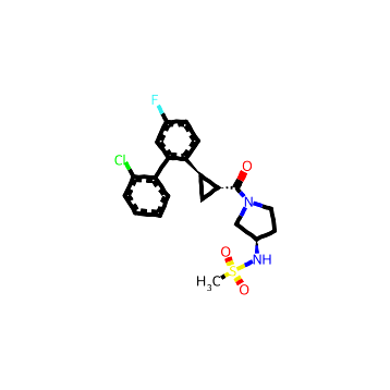 CS(=O)(=O)N[C@@H]1CCN(C(=O)[C@@H]2C[C@H]2c2ccc(F)cc2-c2ccccc2Cl)C1